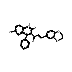 O=C(/C=C/c1ccc2c(c1)OCCO2)c1c(-c2ccccc2)c2cc(Cl)ccc2[nH]c1=O